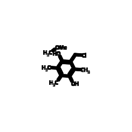 COC.Cc1c(C)c(O)c(CCl)c(C)c1O